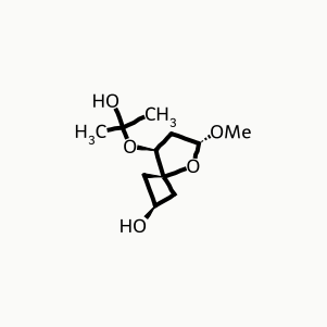 CO[C@H]1C[C@H](OC(C)(C)O)[C@]2(C[C@H](O)C2)O1